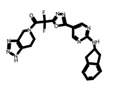 O=C(N1CCc2[nH]nnc2C1)C(F)(F)c1nnc(-c2cnc(NC3Cc4ccccc4C3)nc2)o1